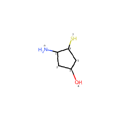 NC1CC(O)CC1S